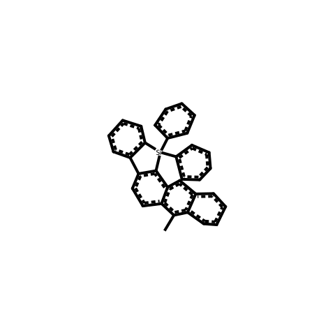 Cc1c2ccccc2cc2c3c(ccc12)-c1ccccc1[Si]3(c1ccccc1)c1ccccc1